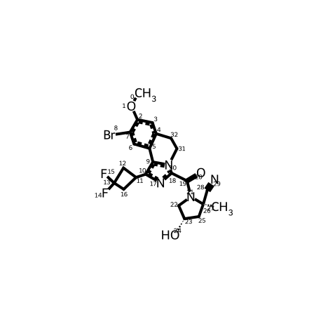 COc1cc2c(cc1Br)-c1c(C3CC(F)(F)C3)nc(C(=O)N3C[C@@H](O)C[C@]3(C)C#N)n1CC2